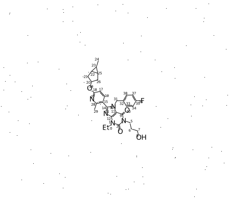 CCn1c(=O)n(CCCO)c(=O)c2c1nc(-c1ccc(OC3CC4C(C)C4C3)nc1C)n2Cc1ccc(F)cc1